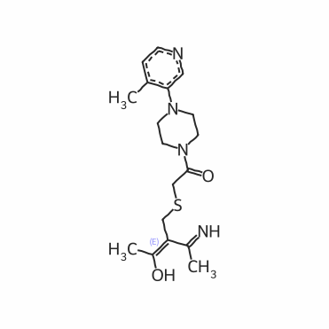 CC(=N)/C(CSCC(=O)N1CCN(c2cnccc2C)CC1)=C(/C)O